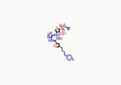 CN1CCN(CCCCc2coc([C@H](Nc3nsnc3Nc3csc(S(=O)(=O)N(C)C4CC4)c3O)C(C)(C)C)c2)CC1